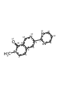 Cn1ccc2cc(-c3ncccn3)ncc2c1=O